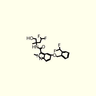 Cn1nc2ccc(OCc3ccccc3C(F)F)cc2c1C(=O)NC(C)(CO)CC(F)F